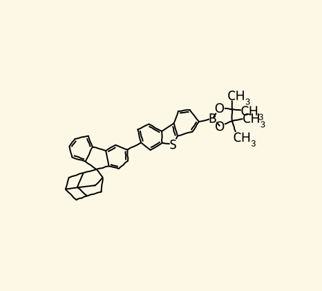 CC1(C)OB(c2ccc3c(c2)sc2cc(-c4ccc5c(c4)-c4ccccc4C54C5CC6CC(C5)CC4C6)ccc23)OC1(C)C